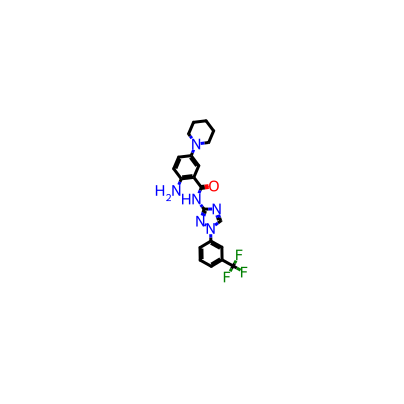 Nc1ccc(N2CCCCC2)cc1C(=O)Nc1ncn(-c2cccc(C(F)(F)F)c2)n1